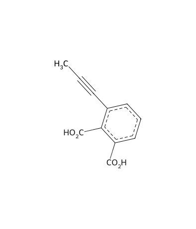 CC#Cc1cccc(C(=O)O)c1C(=O)O